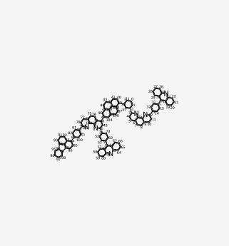 c1cc(-c2ccc3ccc4ccc(-c5ccc(-c6c7ccccc7nc7ccccc67)cc5)nc4c3n2)cc(-c2ccc3ccc4cc(-c5cc(-c6ccc(-c7c8ccccc8nc8ccccc78)cc6)nc6c5ccc5ccc(-c7ccc(-c8ccc9c%10c(cccc8%10)-c8ccccc8-9)cc7)nc56)cc5ccc2c3c45)c1